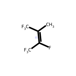 C/C(=C(\F)C(F)(F)F)C(F)(F)F